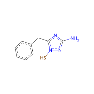 Nc1nc(Cc2ccccc2)n(S)n1